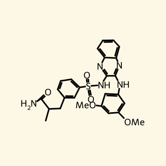 COc1cc(Nc2nc3ccccc3nc2NS(=O)(=O)c2cccc(CC(C)C(N)=O)c2)cc(OC)c1